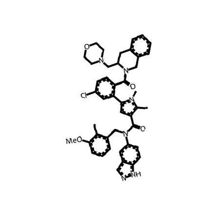 COc1cccc(CN(C(=O)c2cc(-c3cc(Cl)ccc3C(=O)N3Cc4ccccc4CC3CN3CCOCC3)n(C)c2C)c2ccc3[nH]ncc3c2)c1C